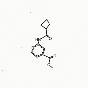 COC(=O)c1ccnc(NC(=O)C2CCC2)c1